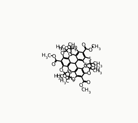 COC(=O)c1c2c(c([C](c3c4c(c(C(=O)OC)c5c3OC(C)(C)O5)OC(C)(C)O4)c3c4c(c(C(=O)OC)c5c3SC(C)(C)S5)SC(C)(C)S4)c3c1OC(C)(C)O3)OC(C)(C)O2